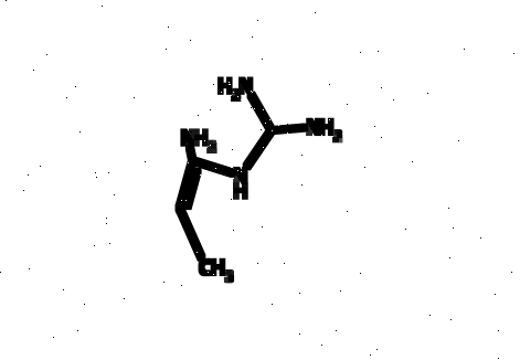 CC=C(N)NC(N)N